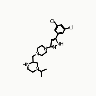 CC(C)N1CCNC(CN2CCN(c3cc(-c4cc(Cl)cc(Cl)c4)[nH]n3)CC2)C1